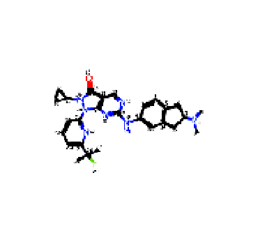 CN(C)C1Cc2ccc(Nc3ncc4c(=O)n(C5CC5)n(-c5cccc(C(C)(C)F)n5)c4n3)cc2C1